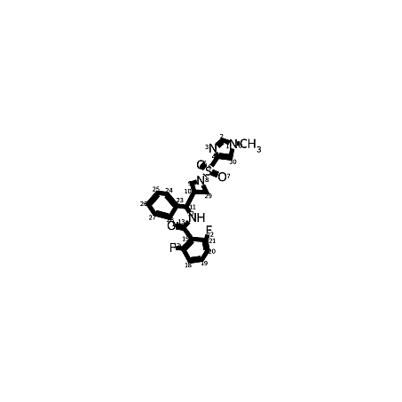 Cn1cnc(S(=O)(=O)N2CC(C(NC(=O)c3c(F)cccc3F)c3ccccc3)C2)c1